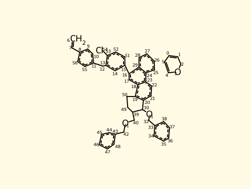 C1=CCOC=C1.C=Cc1ccc(Cc2cc(-c3cc4c5c(ccc4c4ccccc34)C(OCc3ccccc3)C(COCc3ccccc3)CC5)ccc2Cl)cc1